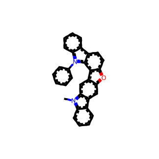 Cn1c2ccccc2c2cc3oc4ccc5c6ccccc6n(-c6ccccc6)c5c4c3cc21